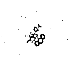 C=CC(=O)/C(O)=C1/C(=O)N([C@@H]2CCN(C(C)C)C2)CN(C2c3ccccc3CCc3ccccc32)N1C